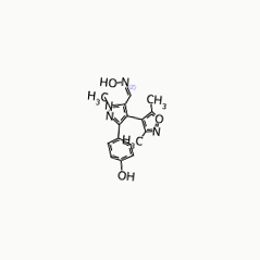 Cc1noc(C)c1-c1c(-c2ccc(O)cc2)nn(C)c1/C=N\O